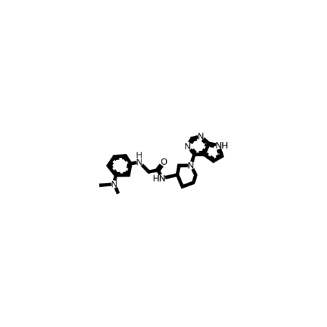 CN(C)c1cccc(NCC(=O)NC2CCCN(c3ncnc4[nH]ccc34)C2)c1